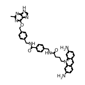 Cc1nc(OCc2ccc(CNC(=O)c3ccc(CNC(=O)CCC[n+]4c5cc(N)ccc5cc5ccc(N)cc54)cc3)cc2)c2nc[nH]c2n1